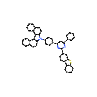 c1ccc(-c2cc(-c3ccc(-n4c5ccc6ccccc6c5c5c6ccccc6ccc54)cc3)nc(-c3ccc4c(c3)sc3ccccc34)n2)cc1